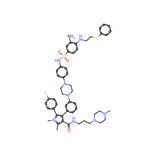 Cc1c(C(=O)NCCCN2CCN(C)CC2)c(-c2cccc(N3CCN(c4ccc(NS(=O)(=O)c5ccc(NCCSc6ccccc6)c([N+](=O)[O-])c5)cc4)CC3)c2)c(-c2ccc(F)cc2)n1C